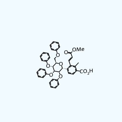 COC(=O)/C=C/c1c([C@H]2O[C@H](COc3ccccc3)[C@@H](Oc3ccccc3)[C@H](Oc3ccccc3)[C@@H]2Oc2ccccc2)ccc(C(=O)O)c1C